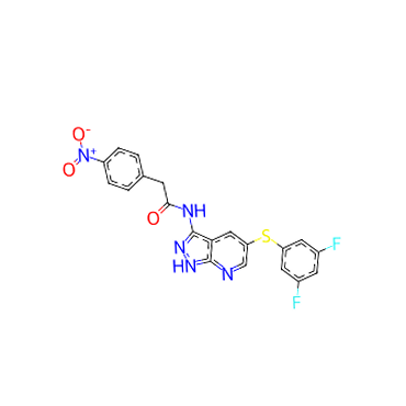 O=C(Cc1ccc([N+](=O)[O-])cc1)Nc1n[nH]c2ncc(Sc3cc(F)cc(F)c3)cc12